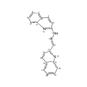 C(=NNc1ccc2ccccc2n1)c1ccc2ccccc2n1